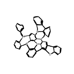 c1ccc(N2c3ccccc3B3c4c2cc2c5c4-n4c6c3cccc6c3c6oc7ccccc7c6cc(c34)B5c3cccc4c5ccccc5n-2c34)cc1